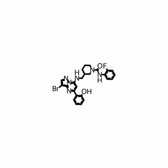 O=C(Nc1ccccc1F)N1CCCC(CNc2cc(-c3ccccc3O)nc3c(Br)cnn23)C1